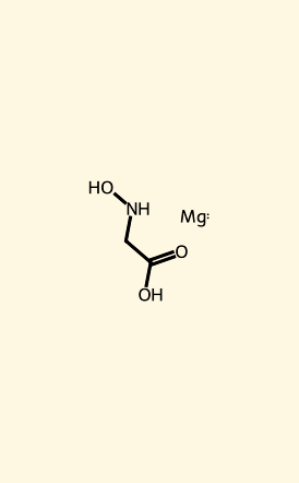 O=C(O)CNO.[Mg]